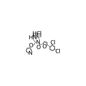 Cl.Cl.O=C(c1ccc(-c2ccc(Cl)cc2Cl)o1)N1CCNCC1COc1cccnc1